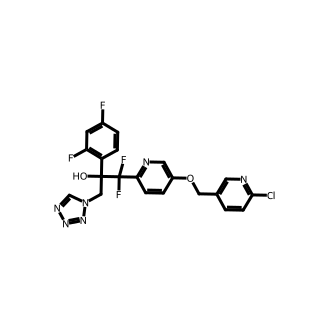 OC(Cn1cnnn1)(c1ccc(F)cc1F)C(F)(F)c1ccc(OCc2ccc(Cl)nc2)cn1